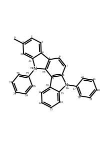 Cc1ccc2c3ccc4c(c5ccccc5n4-c4ccccc4)c3n(-c3ccccc3)c2c1